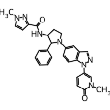 Cn1ccc(C(=O)N[C@H]2CCN(c3ccc4c(cnn4-c4ccc(=O)n(C)c4)c3)C2c2ccccc2)n1